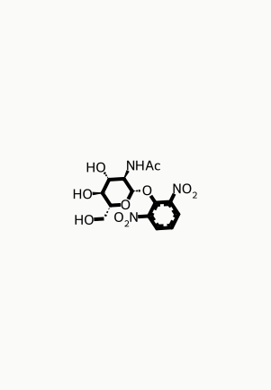 CC(=O)N[C@H]1[C@H](Oc2c([N+](=O)[O-])cccc2[N+](=O)[O-])O[C@H](CO)[C@@H](O)[C@@H]1O